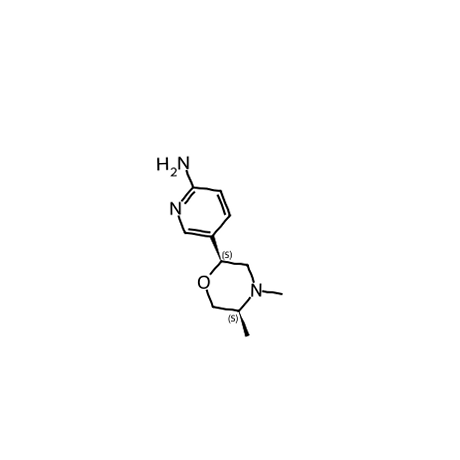 C[C@H]1CO[C@@H](c2ccc(N)nc2)CN1C